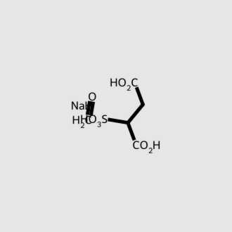 C=O.O=C(O)CC(C(=O)O)S(=O)(=O)O.[NaH]